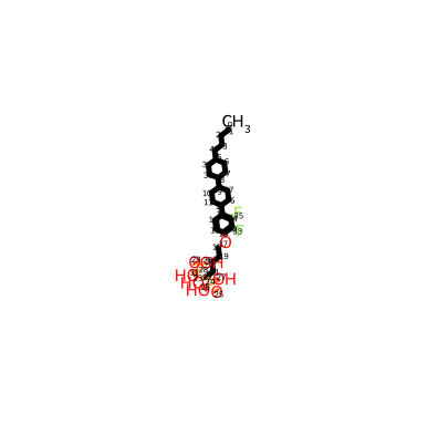 CCCCCC1CCC(C2CCC(c3ccc(OCCCCC(O)(P(=O)(O)O)P(=O)(O)O)c(F)c3F)CC2)CC1